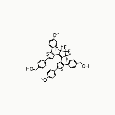 COc1ccc(-c2cc(C3=C(c4cc(-c5ccc(CO)cc5)sc4-c4ccc(OC)cc4)C(F)(F)C(F)(F)C3(F)F)c(-c3ccc(CO)cc3)s2)cc1